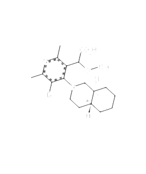 Cc1nc(C)c(C(OC(C)(C)C)C(=O)O)c(N2CC[C@H]3CCCC[C@@H]3C2)c1Br